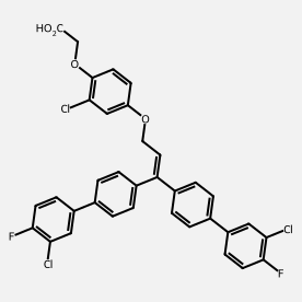 O=C(O)COc1ccc(OCC=C(c2ccc(-c3ccc(F)c(Cl)c3)cc2)c2ccc(-c3ccc(F)c(Cl)c3)cc2)cc1Cl